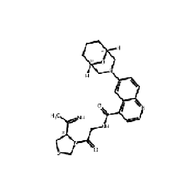 CC(=N)[C@@H]1CSCN1C(=O)CNC(=O)c1ccnc2ccc(N3C[C@H]4CCC[C@@H](C3)O4)cc12